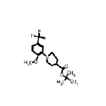 COc1ccc(C(F)(F)F)cc1N1CCC(C(=O)OC(C)(C)C)CC1